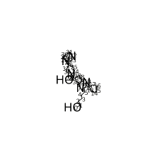 OCCCCCc1nc2c(nc1C1C=CC=CC1)=CCC(C(O)N1CCC(C3=NC=CCN=C3)CC1)C=2